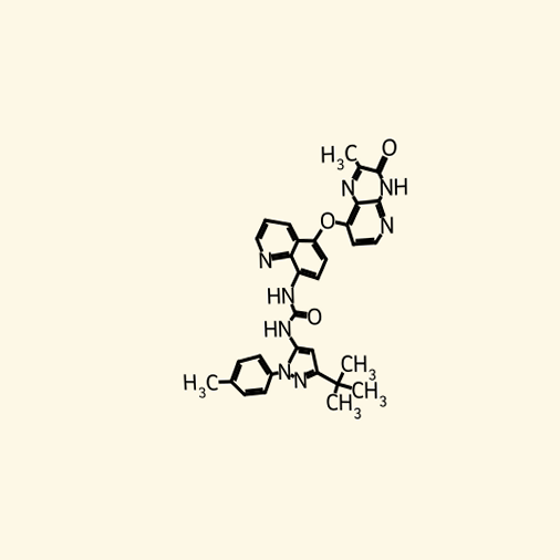 Cc1ccc(-n2nc(C(C)(C)C)cc2NC(=O)Nc2ccc(Oc3ccnc4[nH]c(=O)c(C)nc34)c3cccnc23)cc1